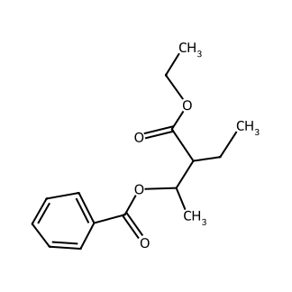 CCOC(=O)C(CC)C(C)OC(=O)c1ccccc1